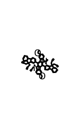 C#CCn1c2ccc(OC)cc2c2c(-c3ccc4c(c3)C(CC#C)(CC#C)c3ccccc3-4)c3c(c(-c4ccc5c(c4)C(CC#C)(CC#C)c4ccccc4-5)c21)c1cc(OC)ccc1n3C=C